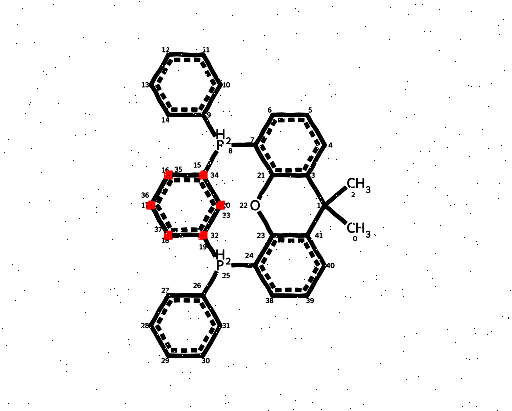 CC1(C)c2cccc([PH2](c3ccccc3)c3ccccc3)c2Oc2c([PH2](c3ccccc3)c3ccccc3)cccc21